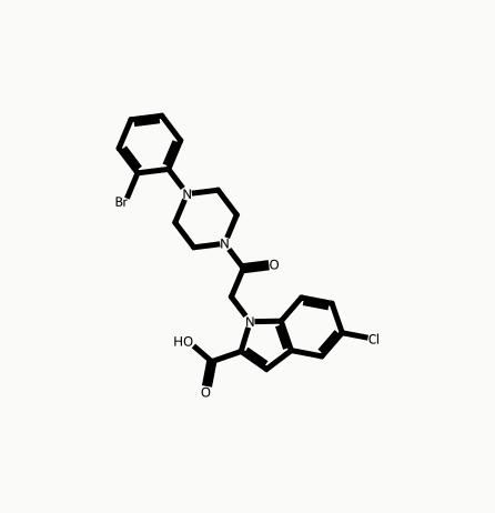 O=C(O)c1cc2cc(Cl)ccc2n1CC(=O)N1CCN(c2ccccc2Br)CC1